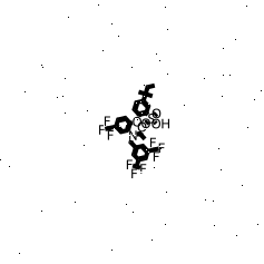 CCC(C)(C)c1ccc(Oc2ccc(C(F)(F)F)cc2N(Cc2cc(C(F)(F)F)cc(C(F)(F)F)c2)C(C)=O)c(S(=O)(=O)O)c1